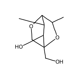 CC1OC2(CO)COC1C(C)C2O